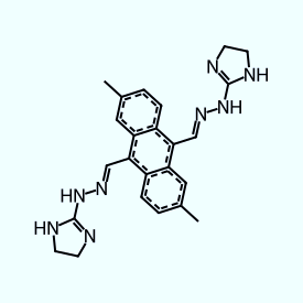 Cc1ccc2c(/C=N/NC3=NCCN3)c3cc(C)ccc3c(/C=N/NC3=NCCN3)c2c1